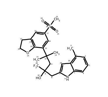 Cc1cccc2[nH]c(CC(O)(CC(C)(C)c3cc(S(C)(=O)=O)cc4c3OCC4)C(F)(F)F)cc12